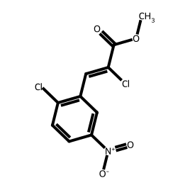 COC(=O)C(Cl)=Cc1cc([N+](=O)[O-])ccc1Cl